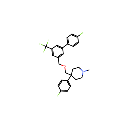 CN1CCC(COCc2cc(-c3ccc(F)cc3)cc(C(F)(F)F)c2)(c2ccc(F)cc2)CC1